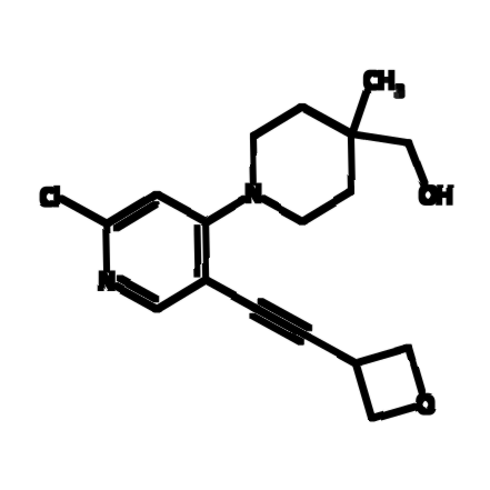 CC1(CO)CCN(c2cc(Cl)ncc2C#CC2COC2)CC1